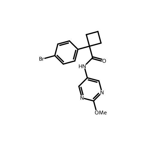 COc1ncc(NC(=O)C2(c3ccc(Br)cc3)CCC2)cn1